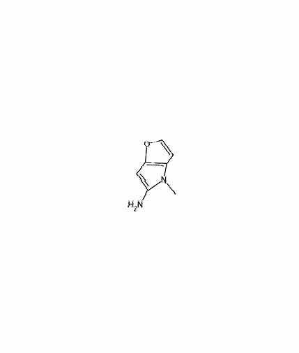 Cn1c(N)cc2occc21